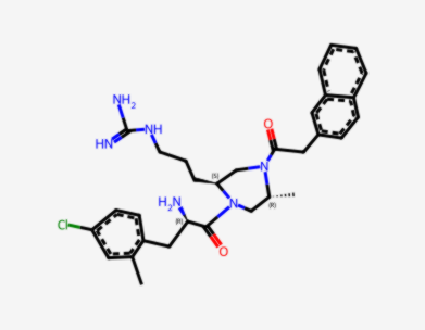 Cc1cc(Cl)ccc1C[C@@H](N)C(=O)N1C[C@@H](C)N(C(=O)Cc2ccc3ccccc3c2)C[C@@H]1CCCNC(=N)N